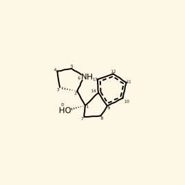 O[C@@]1([C@@H]2CCCN2)CCc2ccccc21